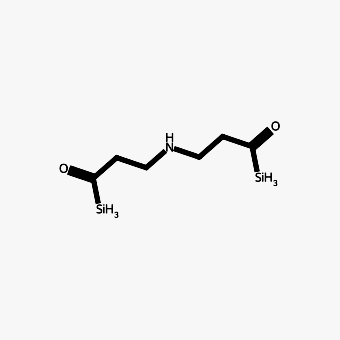 O=C([SiH3])CCNCCC(=O)[SiH3]